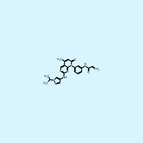 C=CC(=O)Nc1cccc(-n2c(=O)cc(C)c3cnc(Nc4cnn(C(C)C)c4)nc32)c1